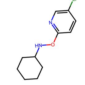 Clc1ccc(ONC2CCCCC2)nc1